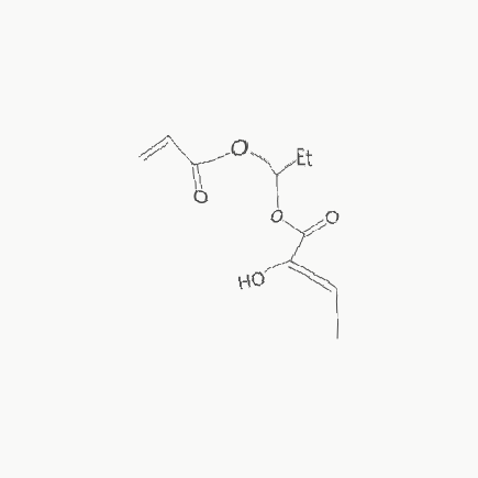 C=CC(=O)OC(CC)OC(=O)C(O)=CC